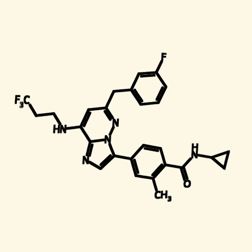 Cc1cc(-c2cnc3c(NCCC(F)(F)F)cc(Cc4cccc(F)c4)nn23)ccc1C(=O)NC1CC1